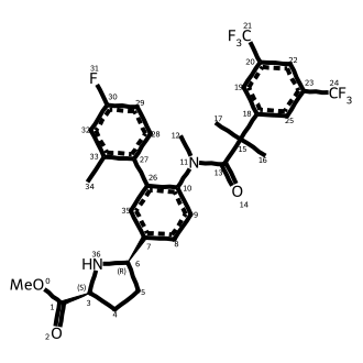 COC(=O)[C@@H]1CC[C@H](c2ccc(N(C)C(=O)C(C)(C)c3cc(C(F)(F)F)cc(C(F)(F)F)c3)c(-c3ccc(F)cc3C)c2)N1